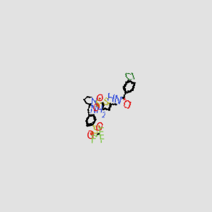 NC1(Cc2ccc(S(=O)(=O)C(F)(F)F)cc2)CCCCN1S(=O)(=O)c1ccc(CNC(=O)c2ccc(Cl)cc2)s1